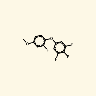 COc1ccc(Oc2cc(F)c(F)c(F)c2)c(F)c1